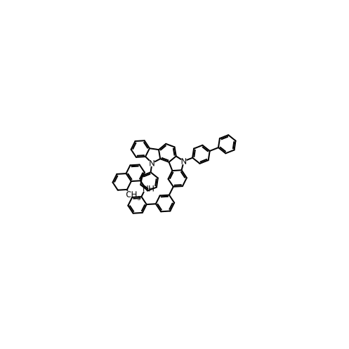 CC1CC=Cc2cccc(Nc3ccccc3-c3cccc(-c4ccc5c(c4)c4c(ccc6c7ccccc7n(-c7ccccc7)c64)n5-c4ccc(-c5ccccc5)cc4)c3)c21